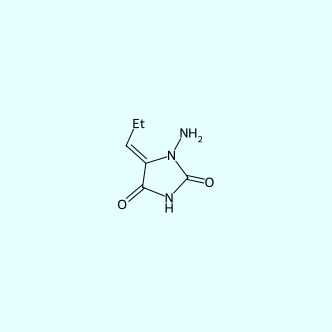 CC/C=C1/C(=O)NC(=O)N1N